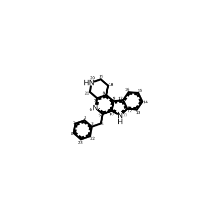 c1ccc(Cc2nc3c(c4c2[nH]c2ccccc24)CCNC3)cc1